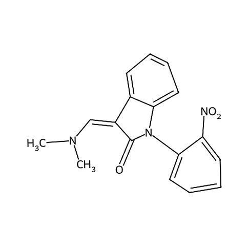 CN(C)/C=C1\C(=O)N(c2ccccc2[N+](=O)[O-])c2ccccc21